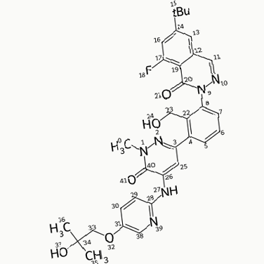 Cn1nc(-c2cccc(-n3ncc4cc(C(C)(C)C)cc(F)c4c3=O)c2CO)cc(Nc2ccc(OCC(C)(C)O)cn2)c1=O